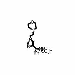 CC(C)[C@H](NC(=O)O)c1cn(CCN2CCOCC2)cn1